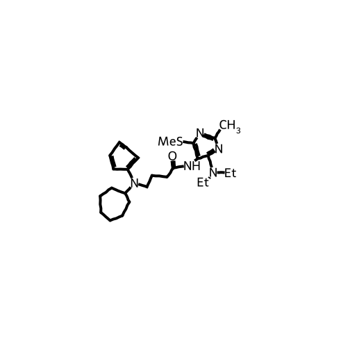 CCN(CC)c1nc(C)nc(SC)c1NC(=O)CCCN(c1ccccc1)C1CCCCCC1